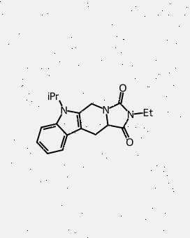 CCN1C(=O)C2Cc3c(n(C(C)C)c4ccccc34)CN2C1=O